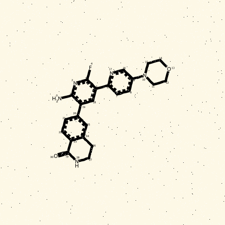 Nc1nc(F)c(-c2ccc(N3CCOCC3)cn2)cc1-c1ccc2c(c1)CCNC2=O